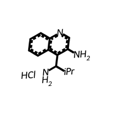 CC(C)C(N)c1c(N)cnc2ccccc12.Cl